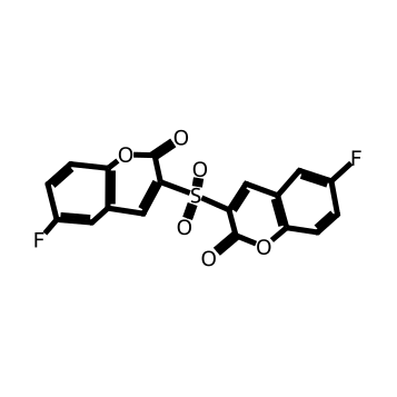 O=c1oc2ccc(F)cc2cc1S(=O)(=O)c1cc2cc(F)ccc2oc1=O